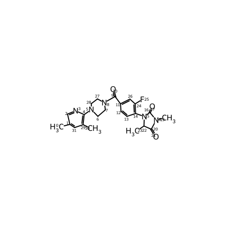 Cc1cnc(N2CCN(C(=O)c3ccc(N4C(=O)N(C)C(=O)C4C)c(F)c3)CC2)c(C)c1